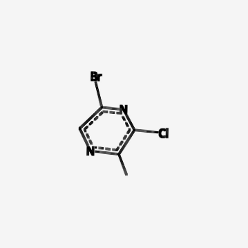 Cc1ncc(Br)nc1Cl